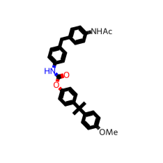 COc1ccc(C(C)(C)c2ccc(OC(=O)Nc3ccc(Cc4ccc(NC(C)=O)cc4)cc3)cc2)cc1